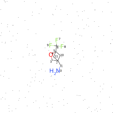 NCC12COC(C(F)(F)F)(C1)C2